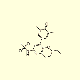 CCC1CCc2cc(NS(C)(=O)=O)cc(-c3cc(C)c(=O)n(C)c3)c2O1